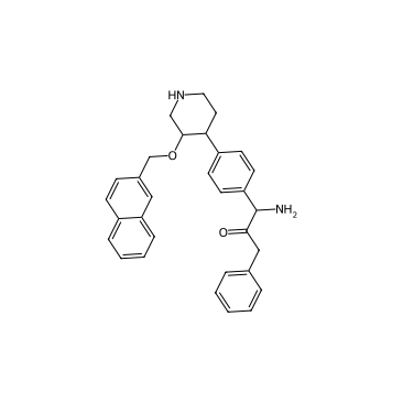 NC(C(=O)Cc1ccccc1)c1ccc(C2CCNCC2OCc2ccc3ccccc3c2)cc1